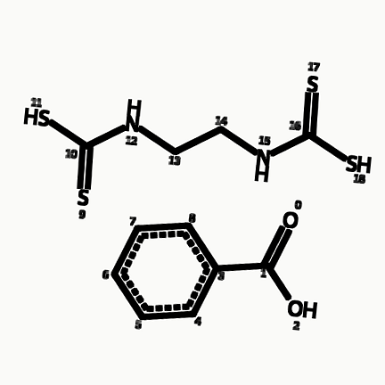 O=C(O)c1ccccc1.S=C(S)NCCNC(=S)S